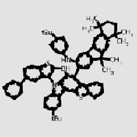 CC(C)(C)c1ccc(Nc2cc3c(cc2-c2c4c5c(c6cc(C(C)(C)C)ccc6n5-c5c(sc6ccc(-c7ccccc7)cc56)B4)c4sc5ccccc5c24)C(C)(C)c2cc4c(cc2-3)C(C)(C)CCC4(C)C)cc1